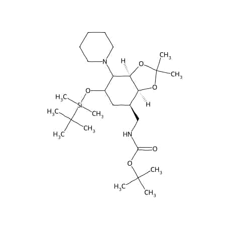 CC(C)(C)OC(=O)NC[C@H]1CC(O[Si](C)(C)C(C)(C)C)C(N2CCCCC2)[C@H]2OC(C)(C)O[C@@H]12